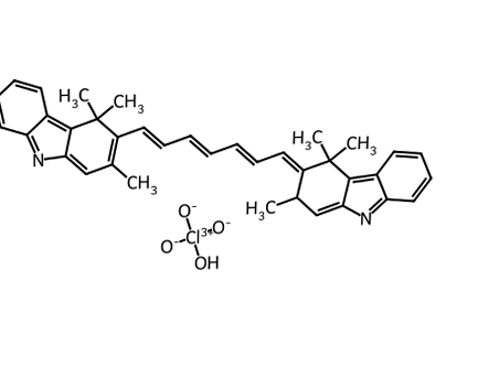 CC1=C(C=CC=CC=CC=C2C(C)C=C3N=c4ccccc4=C3C2(C)C)C(C)(C)C2=c3ccccc3=NC2=C1.[O-][Cl+3]([O-])([O-])O